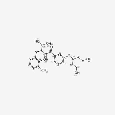 Cc1cccc(C[C@H](NC(=O)c2cccc(CN(CCO)CCO)c2)B(O)O)c1O